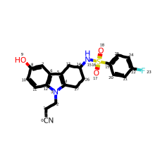 N#CCCn1c2c(c3cc(O)ccc31)CC(NS(=O)(=O)c1ccc(F)cc1)CC2